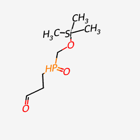 C[Si](C)(C)OC[PH](=O)CCC=O